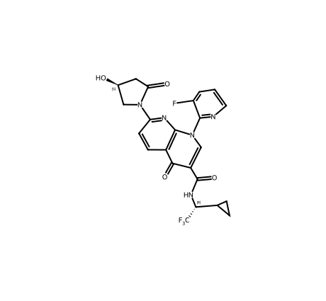 O=C(N[C@H](C1CC1)C(F)(F)F)c1cn(-c2ncccc2F)c2nc(N3C[C@@H](O)CC3=O)ccc2c1=O